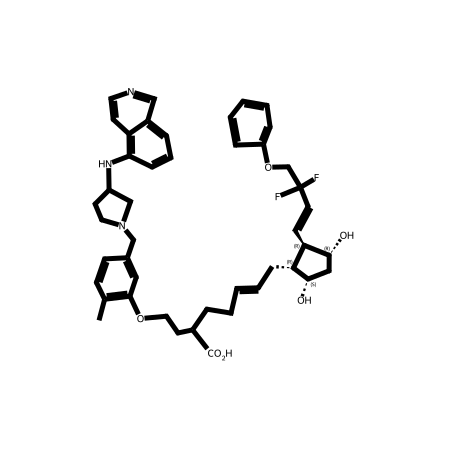 Cc1ccc(CN2CCC(Nc3cccc4cnccc34)C2)cc1OCCC(CCC=CC[C@@H]1[C@@H](C=CC(F)(F)COc2ccccc2)[C@H](O)C[C@@H]1O)C(=O)O